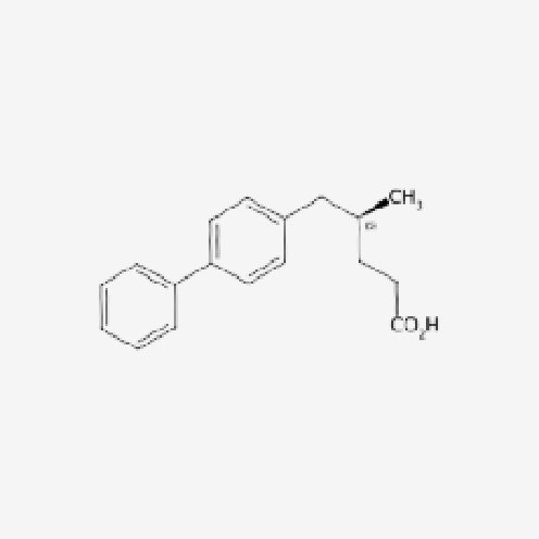 C[C@@H](CCC(=O)O)Cc1ccc(-c2ccccc2)cc1